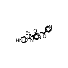 CCn1c(N2CCNCC2)nc2cnn(CC(=O)c3ccncc3)c(=O)c21